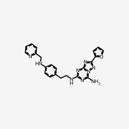 Nc1nc(NCCc2ccc(NCc3ccccn3)cc2)nc2nc(-c3ccco3)nn12